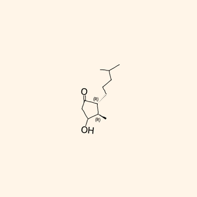 CC(C)CCC[C@H]1C(=O)CC(O)[C@@H]1C